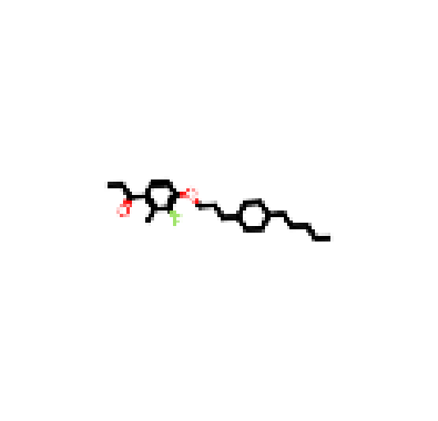 CCCCCC1CCC(CCCOc2ccc(C(=O)CC)c(C)c2F)CC1